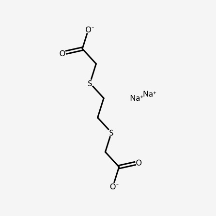 O=C([O-])CSCCSCC(=O)[O-].[Na+].[Na+]